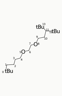 CC(C)(C)CCCCOCCOCCC(C(C)(C)C)C(C)(C)C